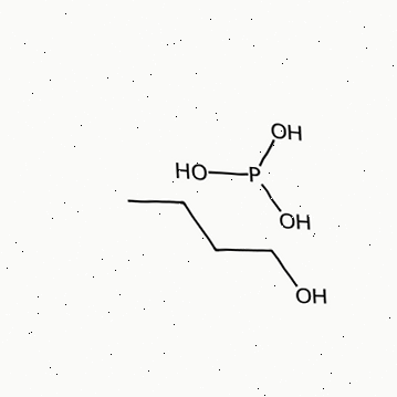 CCCCO.OP(O)O